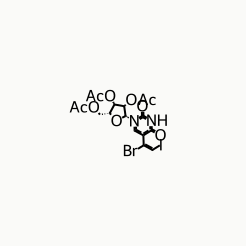 CC(=O)OC[C@H]1O[C@@H](n2cc(/C(Br)=C\I)c(=O)[nH]c2=O)[C@H](OC(C)=O)[C@@H]1OC(C)=O